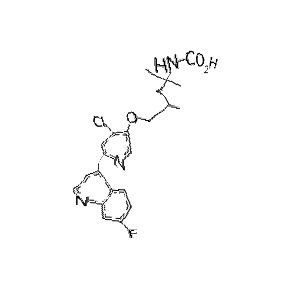 CC(COc1cnc(-c2ccnc3cc(F)ccc23)cc1Cl)CC(C)(C)NC(=O)O